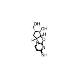 N=c1ccn2c(n1)O[C@H]1[C@H](O)[C@@H](CO)C[C@H]12